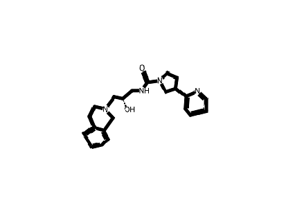 O=C(NC[C@H](O)CN1CCc2ccccc2C1)N1CCC(c2ccccn2)C1